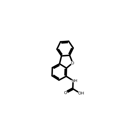 O=C(O)Nc1cccc2c1oc1ccccc12